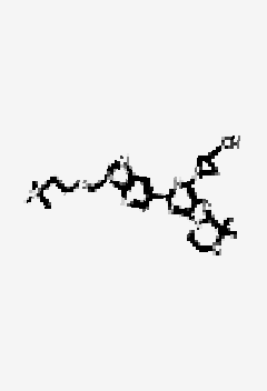 CC1(C)OCCn2c1nc1c(N3CC(C#N)C3)nc(-c3cnc4c(c3)ncn4COCC[Si](C)(C)C)nc12